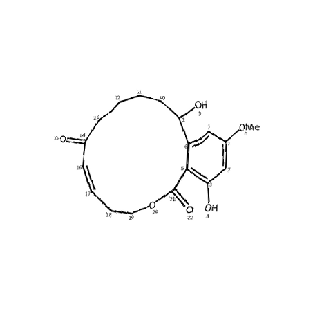 COc1cc(O)c2c(c1)C(O)CCCCC(=O)/C=C\CCOC2=O